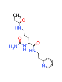 CCC(=O)NCCCC(NC(N)=O)C(=O)NCCc1ccccn1